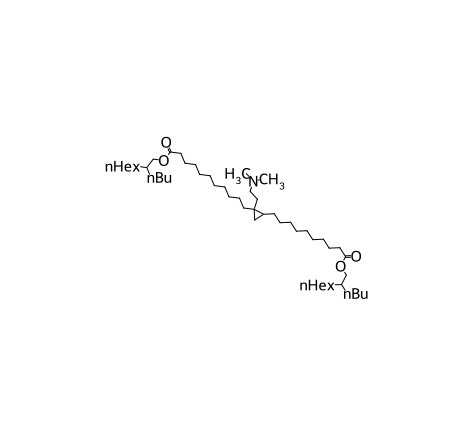 CCCCCCC(CCCC)COC(=O)CCCCCCCCCCC1(CCN(C)C)CC1CCCCCCCCCC(=O)OCC(CCCC)CCCCCC